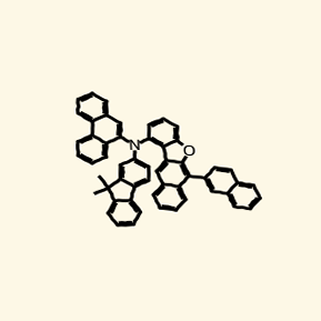 CC1(C)c2ccccc2-c2ccc(N(c3cc4ccccc4c4ccccc34)c3cccc4oc5c(-c6ccc7ccccc7c6)c6ccccc6cc5c34)cc21